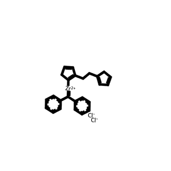 C1=CCC(CCC2=[C]([Zr+2]=[C](c3ccccc3)c3ccccc3)CC=C2)=C1.[Cl-].[Cl-]